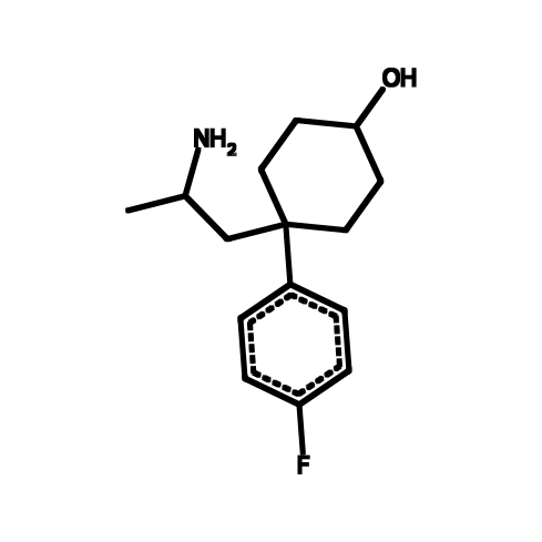 CC(N)CC1(c2ccc(F)cc2)CCC(O)CC1